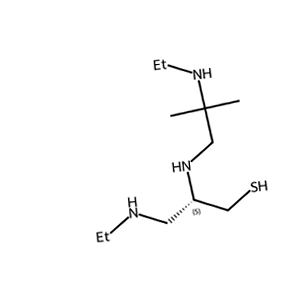 CCNC[C@@H](CS)NCC(C)(C)NCC